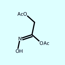 CC(=O)OCC(=NO)OC(C)=O